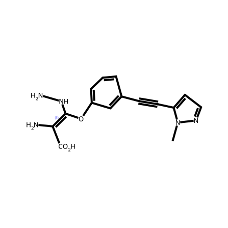 Cn1nccc1C#Cc1cccc(O/C(NN)=C(/N)C(=O)O)c1